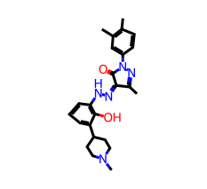 CC1=NN(c2ccc(C)c(C)c2)C(=O)/C1=N\Nc1cccc(C2CCN(C)CC2)c1O